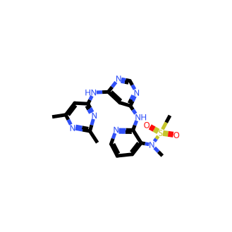 Cc1cc(Nc2cc(Nc3ncccc3N(C)S(C)(=O)=O)ncn2)nc(C)n1